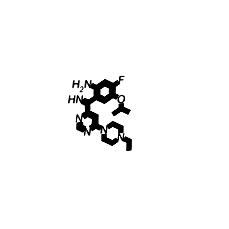 CCN1CCN(c2cc(C(=N)c3cc(OC(C)C)c(F)cc3N)ncn2)CC1